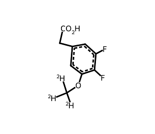 [2H]C([2H])([2H])Oc1cc(CC(=O)O)cc(F)c1F